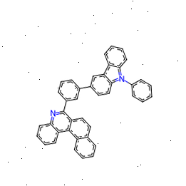 c1ccc(-n2c3ccccc3c3cc(-c4cccc(-c5nc6ccccc6c6c5ccc5ccccc56)c4)ccc32)cc1